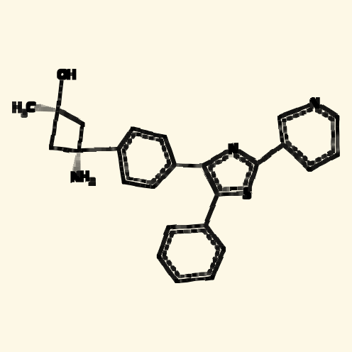 C[C@]1(O)C[C@@](N)(c2ccc(-c3nc(-c4cccnc4)sc3-c3ccccc3)cc2)C1